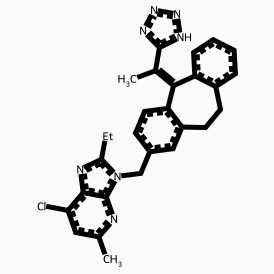 CCc1nc2c(Cl)cc(C)nc2n1Cc1ccc2c(c1)CCc1ccccc1/C2=C(/C)c1nnn[nH]1